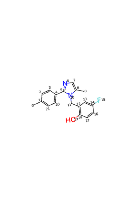 Cc1ccc(-c2ncc(C)n2Cc2cc(F)ccc2O)cc1